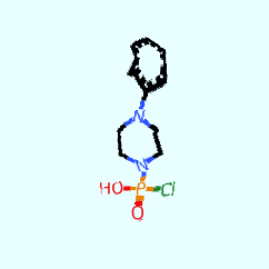 O=P(O)(Cl)N1CCN(c2ccccc2)CC1